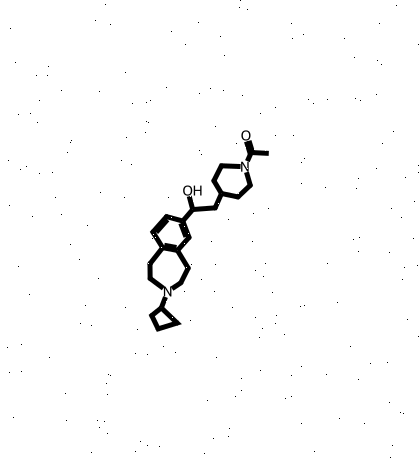 CC(=O)N1CCC(CC(O)c2ccc3c(c2)CCN(C2CCC2)CC3)CC1